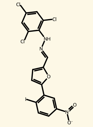 O=[N+]([O-])c1ccc(I)c(-c2ccc(/C=N/Nc3c(Cl)cc(Cl)cc3Cl)o2)c1